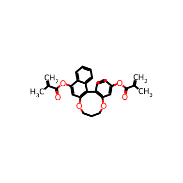 C=C(C)C(=O)Oc1cc2c(c3ccccc13)-c1c(cc(OC(=O)C(=C)C)c3ccccc13)OCCCO2